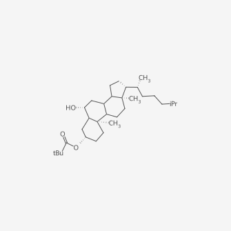 CC(C)CCC[C@@H](C)[C@H]1CCC2C3C[C@@H](O)C4C[C@@H](OC(=O)C(C)(C)C)CC[C@]4(C)C3CC[C@@]21C